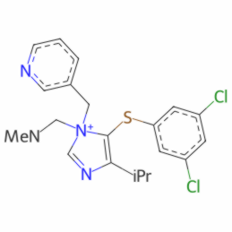 CNC[N+]1(Cc2cccnc2)C=NC(C(C)C)=C1Sc1cc(Cl)cc(Cl)c1